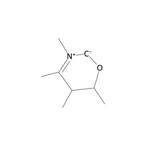 CC1=[N+](C)[CH-]OC(C)C1C